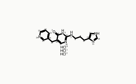 Cl.Cl.Cl.O=c1[nH]c(NCCCc2c[nH]cn2)ncc1Cc1cccnc1